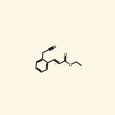 CCOC(=O)/C=C/c1ccccc1CC#N